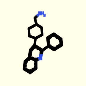 NCC1CCC(c2cc3cc[c]cc3nc2-c2ccccc2)CC1